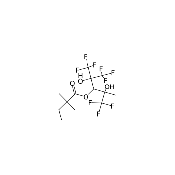 CCC(C)(C)C(=O)OC(C(C)(O)C(F)(F)F)C(O)(C(F)(F)F)C(F)(F)F